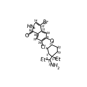 CCC(N)[C@]1(CC)CC[C@H](Oc2cc3c(Br)c[nH]c(=O)c3cc2Cl)CC1